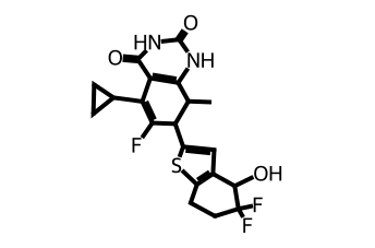 CC1c2[nH]c(=O)[nH]c(=O)c2C(C2CC2)=C(F)C1c1cc2c(s1)CCC(F)(F)C2O